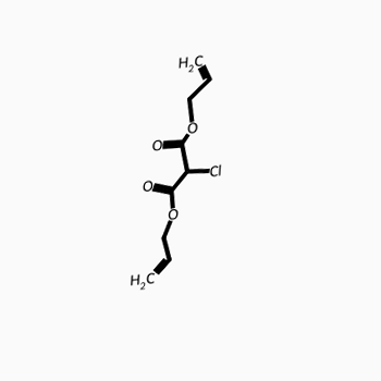 C=CCOC(=O)C(Cl)C(=O)OCC=C